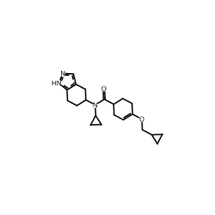 O=C(C1CC=C(OCC2CC2)CC1)N(C1CC1)C1CCc2[nH]ncc2C1